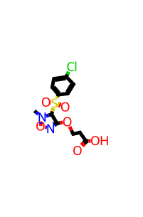 CN1ON=C(OCCC(=O)O)C1S(=O)(=O)c1ccc(Cl)cc1